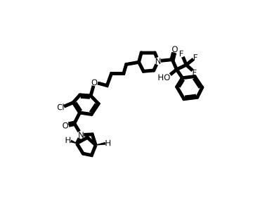 O=C(c1ccc(OCCCCC2CCN(C(=O)C(O)(c3ccccc3)C(F)(F)F)CC2)cc1Cl)N1C[C@@H]2CC[C@H]1C2